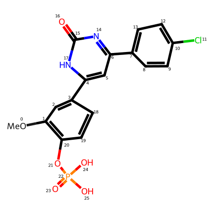 COc1cc(-c2cc(-c3ccc(Cl)cc3)nc(=O)[nH]2)ccc1OP(=O)(O)O